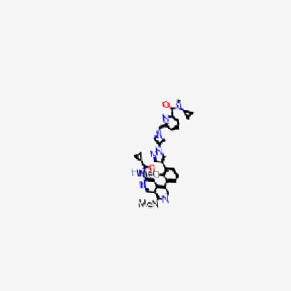 CNc1ncc(-c2cccc(-c3cnn(C4CN(Cc5cccc(C(=O)N(C)C6CC6)n5)C4)c3)c2OC)c2cc(NC(=O)C3CC3)ncc12